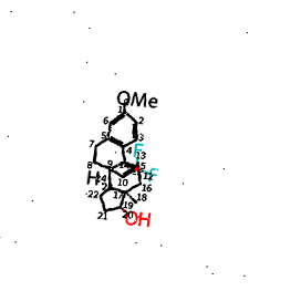 COc1ccc2c(c1)CCC1(C=C(F)F)C2=CC[C@]2(C)[C@@H](O)CC[C@@H]12